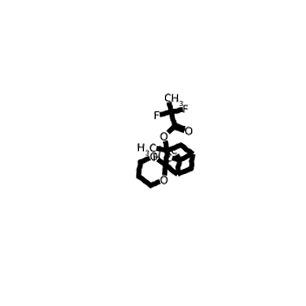 CC(F)(F)C(=O)OC1(C)CC2CC(C2(C)C)C12OCCCO2